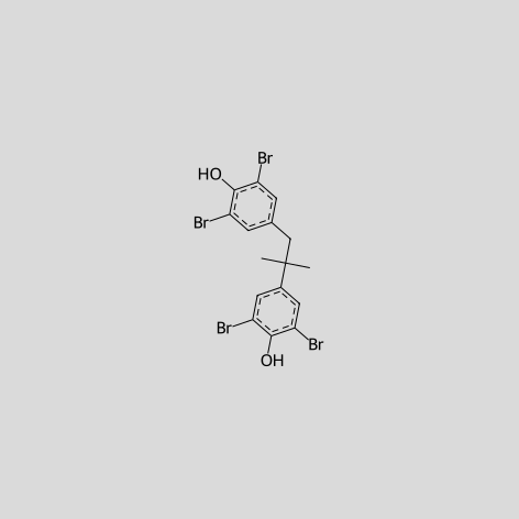 CC(C)(Cc1cc(Br)c(O)c(Br)c1)c1cc(Br)c(O)c(Br)c1